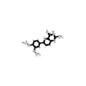 COc1ccc(-c2ccc3nc(C)[nH]c(=O)c3n2)cc1OC